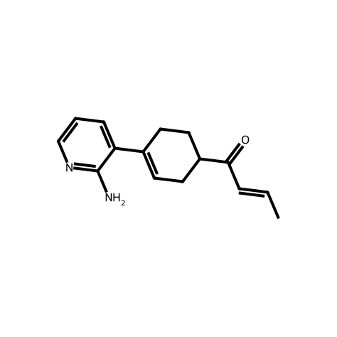 C/C=C/C(=O)C1CC=C(c2cccnc2N)CC1